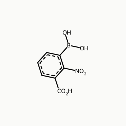 O=C(O)c1cccc(B(O)O)c1[N+](=O)[O-]